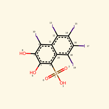 O=S(=O)(O)c1c(O)c(O)c(I)c2c(I)c(I)c(I)c(I)c12